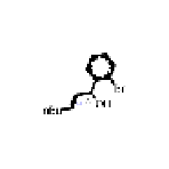 CCCC/C=C/[C@H](O)c1ccccc1Br